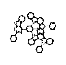 N#Cc1c(-n2c3ccccc3c3c2ccc2c4ccccc4n(-c4ccccc4)c23)cc(-c2nc(-c3ccccc3)nc3oc4ccccc4c23)cc1-n1c2ccccc2c2ccc3c(c4ccccc4n3-c3ccccc3)c21